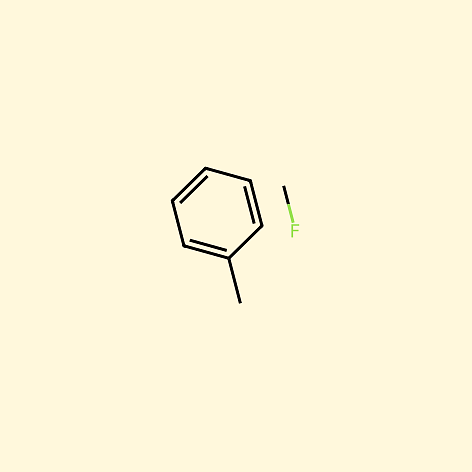 CF.Cc1ccccc1